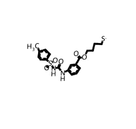 Cc1ccc(S(=O)(=O)NC(=O)Nc2cccc(C(=O)OCCCC[S])c2)cc1